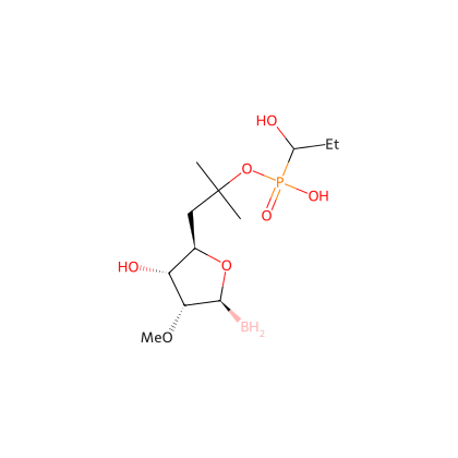 B[C@@H]1O[C@H](CC(C)(C)OP(=O)(O)C(O)CC)[C@@H](O)[C@H]1OC